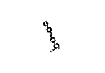 COC[C@H]1CN(c2ncc(/C=C/c3ccc(-n4ccnc4)nc3)cn2)CCN1